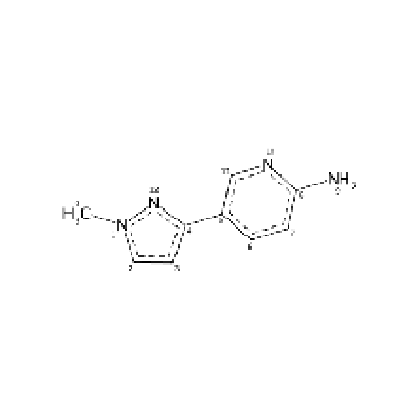 Cn1ccc(-c2ccc(N)nc2)n1